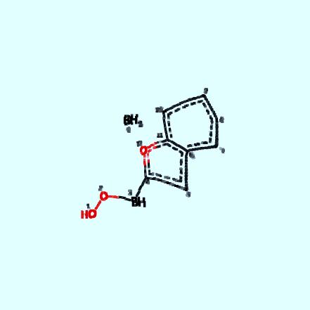 B.OOBc1cc2ccccc2o1